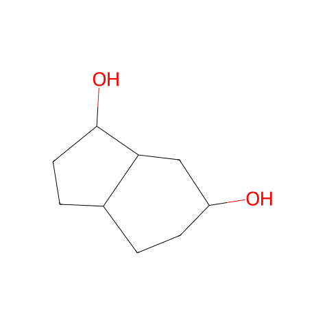 OC1CCC2CCC(O)C2C1